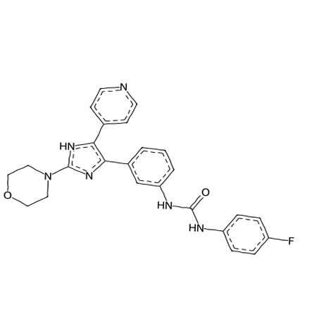 O=C(Nc1ccc(F)cc1)Nc1cccc(-c2nc(N3CCOCC3)[nH]c2-c2ccncc2)c1